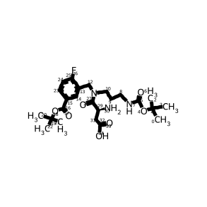 CC(C)(C)OC(=O)NCCCN(Cc1cc(C(=O)OC(C)(C)C)ccc1F)C(=O)[C@@H](N)CC(=O)O